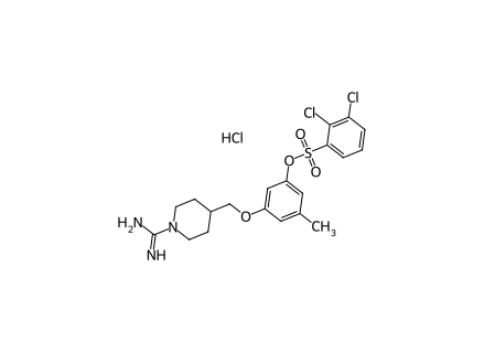 Cc1cc(OCC2CCN(C(=N)N)CC2)cc(OS(=O)(=O)c2cccc(Cl)c2Cl)c1.Cl